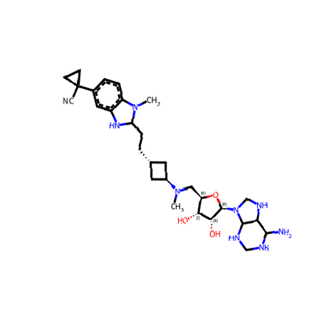 CN1c2ccc(C3(C#N)CC3)cc2NC1CC[C@H]1C[C@H](N(C)C[C@H]2O[C@@H](N3CNC4C(N)NCNC43)[C@H](O)[C@@H]2O)C1